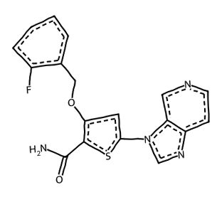 NC(=O)c1sc(-n2cnc3ccncc32)cc1OCc1ccccc1F